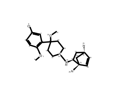 COc1ccc(Cl)cc1C1(OC)CCN(N[C@H]2C[C@H]3C=C[C@H]2C3)CC1